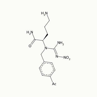 CC(=O)c1ccc(CN(C(N)=N[N+](=O)[O-])[C@H](CCCN)C(N)=O)cc1